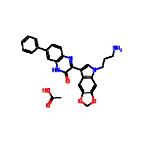 CC(=O)O.NCCCn1cc(-c2nc3ccc(-c4ccccc4)cc3[nH]c2=O)c2cc3c(cc21)OCO3